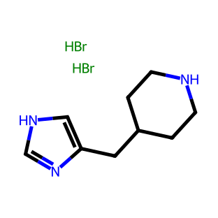 Br.Br.c1nc(CC2CCNCC2)c[nH]1